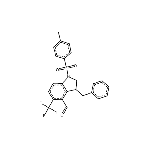 Cc1ccc(S(=O)(=O)N2CC(Cc3ccccc3)c3c2ccc(C(F)(F)F)c3C=O)cc1